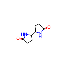 O=C1CCC(C2CCC(=O)N2)N1